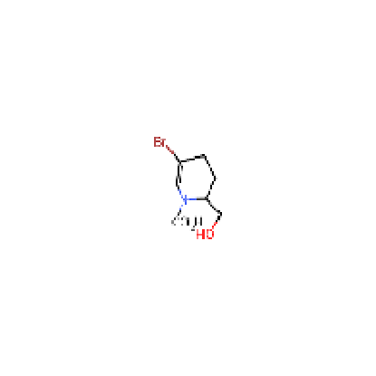 O=C(O)N1C=C(Br)CCC1CO